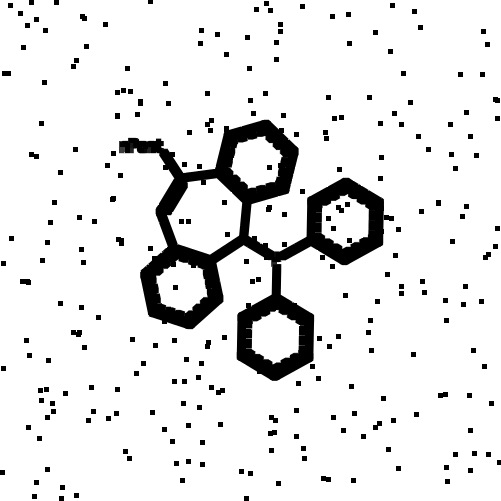 CCCCCC1=Cc2ccccc2C(P(c2ccccc2)c2ccccc2)c2ccccc21